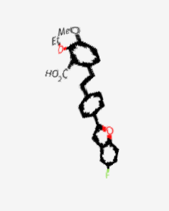 CCOc1c(OC)ccc(C=Cc2ccc(-c3cc4cc(F)ccc4o3)cc2)c1C(=O)O